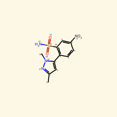 Cc1cc(-c2ccc([N+](=O)[O-])cc2S(N)(=O)=O)n(C)n1